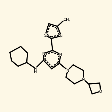 Cc1csc(-c2nc(NC3CCCCC3)cc(N3CCN(C4COC4)CC3)n2)n1